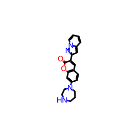 O=c1oc2cc(N3CCCNCC3)ccc2cc1-c1cc2ccccn2n1